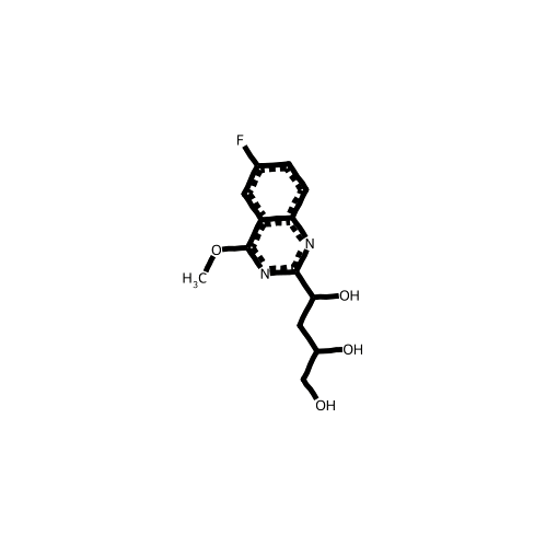 COc1nc(C(O)CC(O)CO)nc2ccc(F)cc12